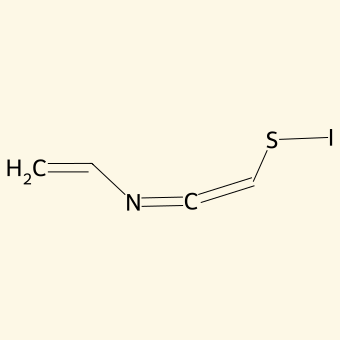 C=CN=C=CSI